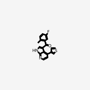 Cc1ccc(F)cc1C(=O)c1c[nH]c2nccc(-c3ccsc3)c12